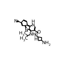 CC(C)Nc1c(C(=O)NC2CC(N)C2)c[nH]c2c3ccc(C#N)cc3nc1-2